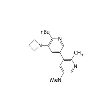 CCCCc1ncc(-c2cc(NC)cnc2C)cc1N1CCC1